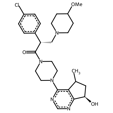 COC1CCN(C[C@H](C(=O)N2CCN(c3ncnc4c3C(C)C[C@H]4O)CC2)c2ccc(Cl)cc2)CC1